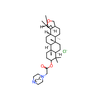 CC1(C)CC[C@]23CC[C@]4(C)[C@H](CC[C@@H]5[C@@]6(C)CCC(OC(=O)C[N+]78CCN(CC7)CC8)C(C)(C)[C@@H]6CC[C@]54C)[C@H]2[C@H]1OC3.[Cl-]